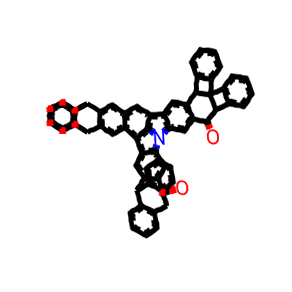 O=C1c2cc3c(cc2C2c4ccccc4C1c1ccccc12)c1c2cc4c(cc2cc2c5cc6c(cc5n3c21)C(=O)C1c2ccccc2C12c1ccccc1C62)C1c2ccccc2C4c2ccccc21